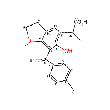 Cc1ccc(C(=S)c2c(O)c(C(C)C(=O)O)cc3c2OCC3)cc1